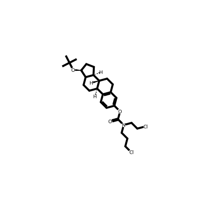 CC(C)(C)O[C@H]1CC[C@@H]2C1CC[C@@H]1c3ccc(OC(=O)N(CCCl)CCCCl)cc3CC[C@H]12